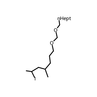 CCCCCCCCOCOCCCC(C)CC(C)I